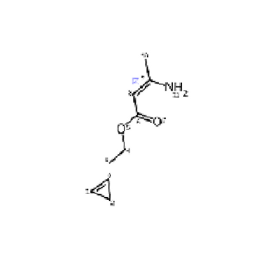 C1=CC1.CCOC(=O)/C=C(/C)N